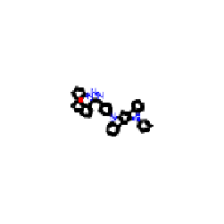 c1ccc(-n2nnc(-c3ccc(-n4c5ccccc5c5cc6c(cc54)c4ccccc4n6-c4ccccc4)cc3)c2-c2cccc3ccccc23)cc1